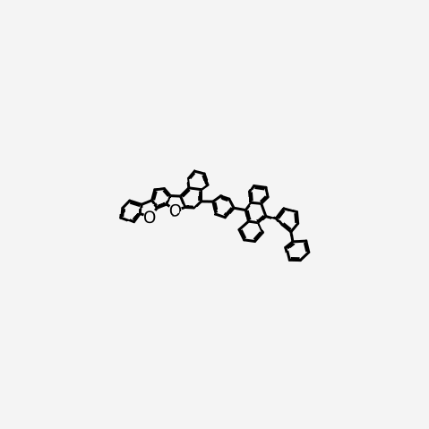 c1ccc(-c2cccc(-c3c4ccccc4c(-c4ccc(-c5cc6oc7c(ccc8c9ccccc9oc87)c6c6ccccc56)cc4)c4ccccc34)c2)cc1